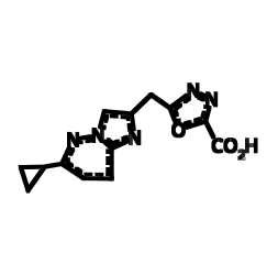 O=C(O)c1nnc(Cc2cn3nc(C4CC4)ccc3n2)o1